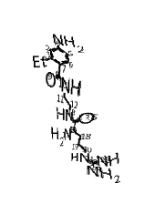 CCc1cc(N)ccc1C(=O)NCCNC(=O)[C@@H](N)CCCNC(=N)N